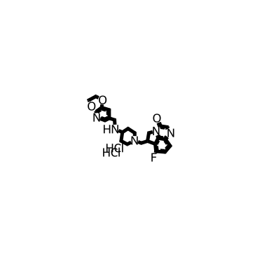 Cl.Cl.O=c1cnc2ccc(F)c3c2n1CC3CN1CCC(NCc2cnc3c(c2)OCCO3)CC1